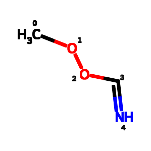 COOC=N